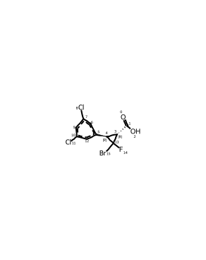 O=C(O)[C@H]1[C@H](c2cc(Cl)cc(Cl)c2)C1(F)Br